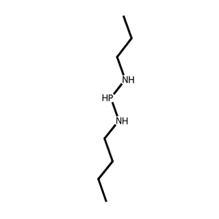 CCCCNPNCCC